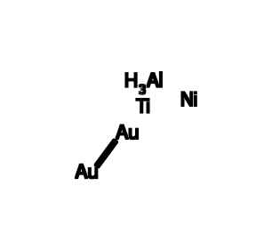 [AlH3].[Au][Au].[Ni].[Ti]